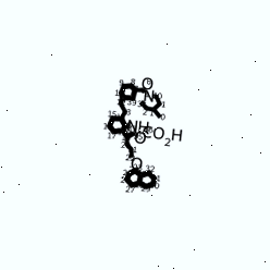 CC1CCN(C(=O)c2cccc(CCc3cccc4c(CCCOc5cccc6ccccc56)c(OC(=O)O)[nH]c34)c2)CC1